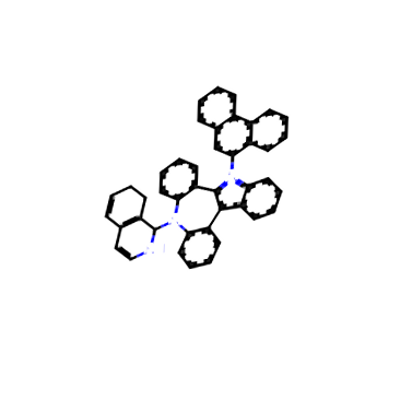 C1=CC2=C(CC1)C(N1c3ccccc3-c3c(n(-c4cc5ccccc5c5ccccc45)c4ccccc34)-c3ccccc31)NC=C2